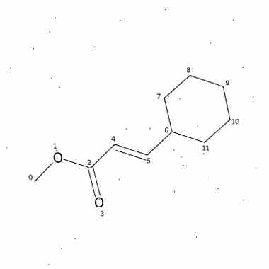 COC(=O)C=CC1CCCCC1